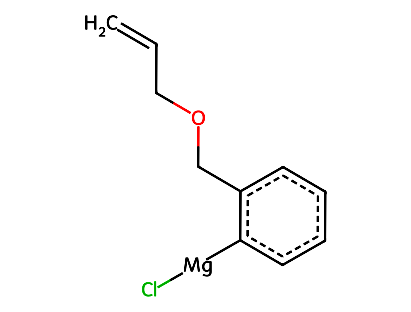 C=CCOCc1cccc[c]1[Mg][Cl]